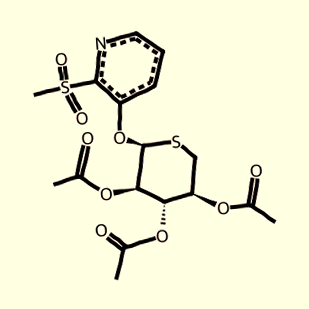 CC(=O)O[C@@H]1[C@@H](OC(C)=O)[C@@H](Oc2cccnc2S(C)(=O)=O)SC[C@H]1OC(C)=O